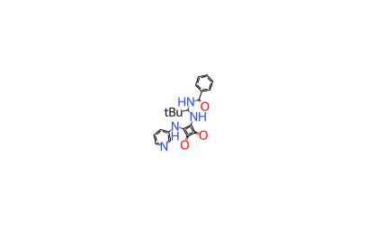 CC(C)(C)C(NC(=O)c1ccccc1)Nc1c(Nc2cccnc2)c(=O)c1=O